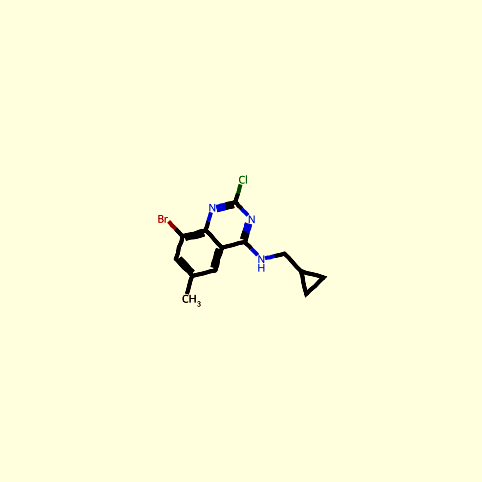 Cc1cc(Br)c2nc(Cl)nc(NCC3CC3)c2c1